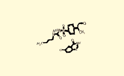 CCCCNC(=O)NS(=O)(=O)c1ccc(C(C)C=O)cc1.O=c1[nH]cnc2ccc(Cl)cc12